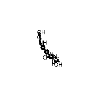 CC(Sc1nc2nc(-c3ccc(-c4ccc(CNCCOCCO)cc4)cc3)c(Cl)cc2[nH]1)C(=O)O